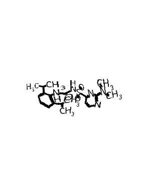 CC(C)c1cccc(C(C)C)c1NC(=O)NS(=O)(=O)c1ccnc(N(C)C)n1